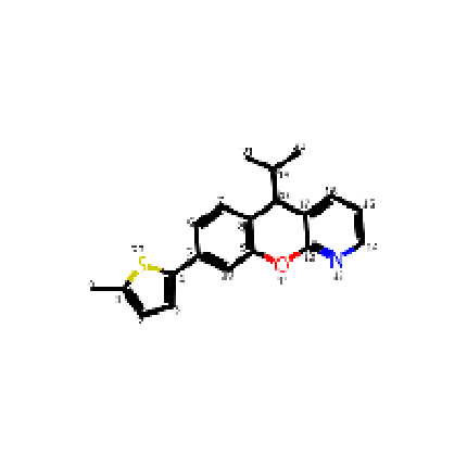 Cc1ccc(-c2ccc3c(c2)Oc2ncccc2C3C(C)C)s1